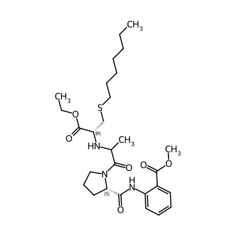 CCCCCCCSC[C@H](NC(C)C(=O)N1CCC[C@H]1C(=O)Nc1ccccc1C(=O)OC)C(=O)OCC